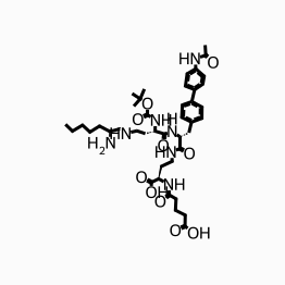 CCCCC[C@H](N)CNCC[C@H](NC(=O)OC(C)(C)C)C(=O)N[C@H](Cc1ccc(-c2ccc(NC(C)=O)cc2)cc1)C(=O)NCC[C@@H](NC(=O)CCCC(=O)O)C(=O)O